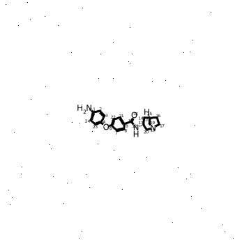 Nc1ccc(Oc2ccc(C(=O)N[C@@H]3C[C@H]4CCN(C4)C3)cc2)cc1